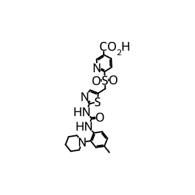 Cc1ccc(NC(=O)Nc2ncc(CS(=O)(=O)c3ccc(C(=O)O)cn3)s2)c(N2CCCCC2)c1